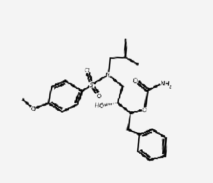 COc1ccc(S(=O)(=O)N(CC(C)C)C[C@@H](O)[C@H](Cc2ccccc2)OC(N)=O)cc1